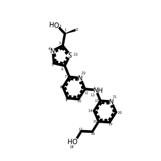 C[C@H](O)c1ncc(-c2cccc(Nc3cc(CCO)ccn3)n2)s1